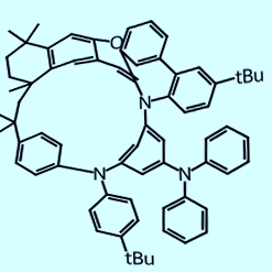 CC(C)(C)c1ccc(N2c3ccc(cc3)C(C)(C)CC3(C)CCC(C)(C)c4cc5oc(cc5cc43)N(c3ccc(C(C)(C)C)cc3-c3ccccc3)c3cc(N(c4ccccc4)c4ccccc4)cc2c3)cc1